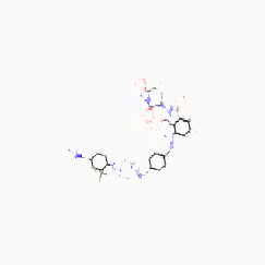 N#Cc1ccc(N2CCN(Cc3ccc(CNc4cccc5c4C(O)N(C4CCC(=O)NC4=O)C5=O)cc3)CC2)c(Cl)c1